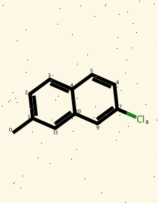 Cc1ccc2ccc(Cl)[c]c2c1